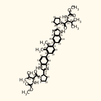 COC(=O)N[C@H](C(=O)N1CCCC1c1nc2cc(-c3ccc(-c4ccc5[nH]c([C@@H]6CCCN6C(=O)[C@@H](NC(=O)OC)C(C)C)nc5c4)c(C)c3C)ccc2[nH]1)C(C)C